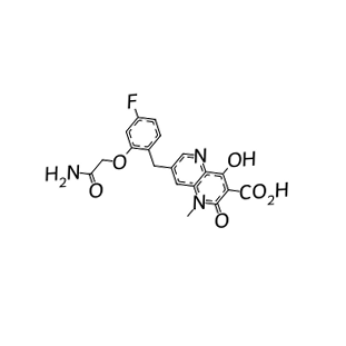 Cn1c(=O)c(C(=O)O)c(O)c2ncc(Cc3ccc(F)cc3OCC(N)=O)cc21